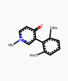 CCCCn1ccc(=O)c(-c2c(OC)cccc2OC)c1